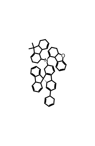 CC1(C)C2=CCCC(N(C3=CCCC4Oc5ccccc5C34)C3C=CC4=C(C3)[C@@]3(c5ccccc5C5C=CC=CC53)C3C=C(C5C=CC=CC5)C=CC43)C2C2C=CCCC21